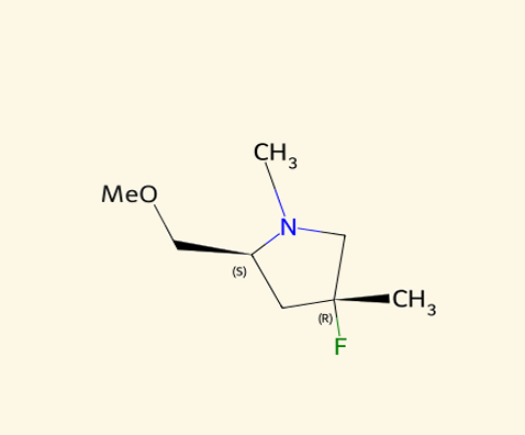 COC[C@@H]1C[C@@](C)(F)CN1C